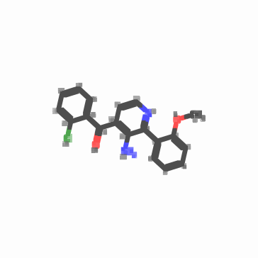 COc1ccccc1-c1nccc(C(=O)c2ccccc2Cl)c1N